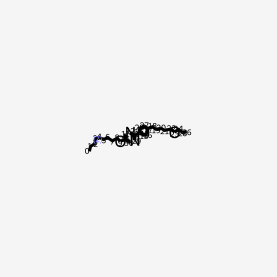 CCC/C=C\CCCCOc1cnc(-c2ccc(CCCCCOCCC)cc2)nc1